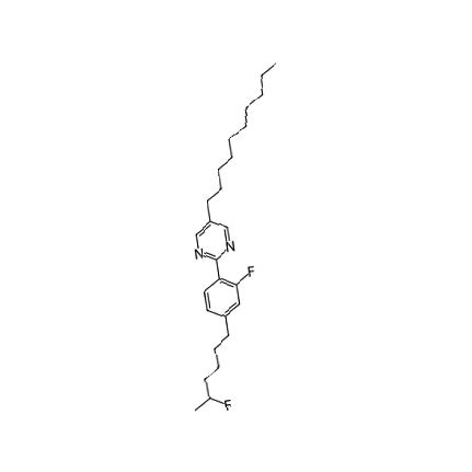 CCCCCCCCCCc1cnc(-c2ccc(CCCCC(C)F)cc2F)nc1